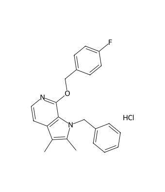 Cc1c(C)n(Cc2ccccc2)c2c(OCc3ccc(F)cc3)nccc12.Cl